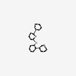 c1ccc(-c2cccc(Oc3ccccc3-c3cccnc3)n2)cc1